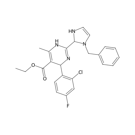 CCOC(=O)C1=C(C)NC(C2NC=CN2Cc2ccccc2)=NC1c1ccc(F)cc1Cl